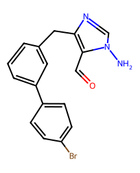 Nn1cnc(Cc2cccc(-c3ccc(Br)cc3)c2)c1C=O